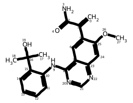 C=C(C(N)=O)c1cc2c(Nc3ccccc3C(C)(C)O)ncnc2cc1OC